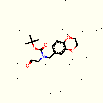 CC(C)(C)OC(=O)N(CC=O)Cc1ccc2c(c1)OCCO2